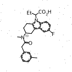 CCC(C(=O)O)n1c2c(c3cc(F)ccc31)C[C@@H](N(C)C(=O)Cc1cccc(C)c1)CC2